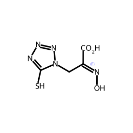 O=C(O)/C(Cn1nnnc1S)=N/O